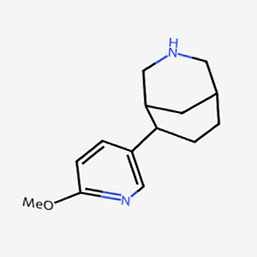 COc1ccc(C2CCC3CNCC2C3)cn1